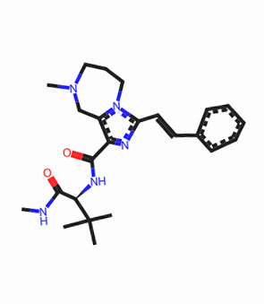 CNC(=O)[C@@H](NC(=O)c1nc(C=Cc2ccccc2)n2c1CN(C)CCC2)C(C)(C)C